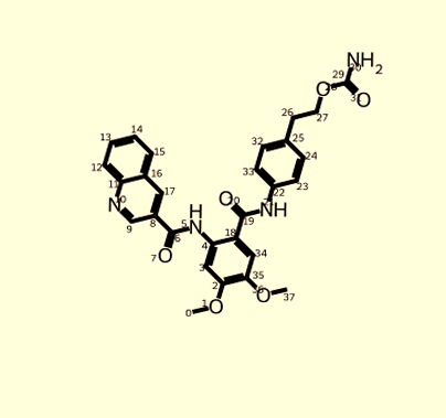 COc1cc(NC(=O)c2cnc3ccccc3c2)c(C(=O)Nc2ccc(CCOC(N)=O)cc2)cc1OC